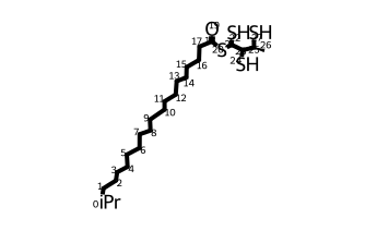 CC(C)CCCCCCCCCCCCCCCCCC(=O)SC(S)C(S)[C@H](C)S